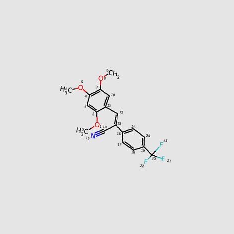 COc1cc(OC)c(OC)cc1C=C(C#N)c1ccc(C(F)(F)F)cc1